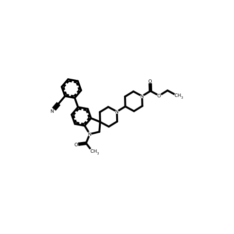 CCOC(=O)N1CCC(N2CCC3(CC2)CN(C(C)=O)c2ccc(-c4ccccc4C#N)cc23)CC1